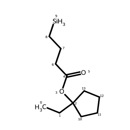 CCC1(OC(=O)CCC[SiH3])CCCC1